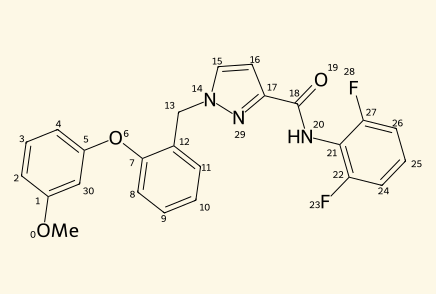 COc1cccc(Oc2ccccc2Cn2ccc(C(=O)Nc3c(F)cccc3F)n2)c1